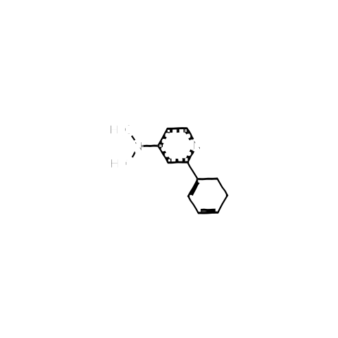 CN(C)c1ccnc(C2=CC=CC[CH]2)c1